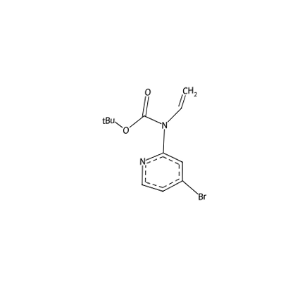 C=CN(C(=O)OC(C)(C)C)c1cc(Br)ccn1